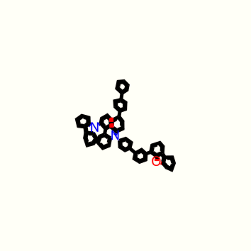 c1ccc(-c2ccc(-c3ccc(N(c4ccc(-c5cccc(-c6cccc7c6oc6ccccc67)c5)cc4)c4ccccc4-c4ccccc4-n4c5ccccc5c5ccccc54)cc3)cc2)cc1